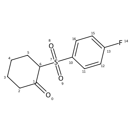 O=C1CCCCC1S(=O)(=O)c1ccc(F)cc1